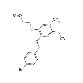 COCCOc1cc([N+](=O)[O-])c(CC#N)cc1OCc1ccc(Br)cc1